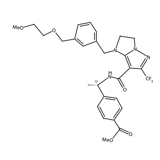 COCCOCc1cccc(CN2CCn3nc(C(F)(F)F)c(C(=O)N[C@@H](C)c4ccc(C(=O)OC)cc4)c32)c1